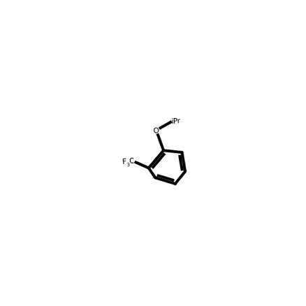 CC(C)Oc1ccc[c]c1C(F)(F)F